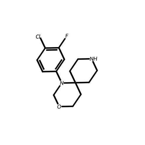 Fc1cc(N2COCCC23CCNCC3)ccc1Cl